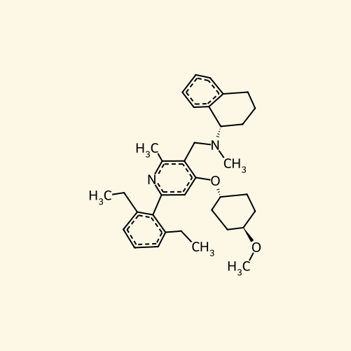 CCc1cccc(CC)c1-c1cc(O[C@H]2CC[C@H](OC)CC2)c(CN(C)[C@H]2CCCc3ccccc32)c(C)n1